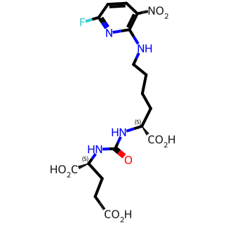 O=C(O)CC[C@H](NC(=O)N[C@@H](CCCCNc1nc(F)ccc1[N+](=O)[O-])C(=O)O)C(=O)O